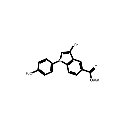 COC(=O)c1ccc2c(c1)c(C(C)C)cn2-c1ccc(C(F)(F)F)cc1